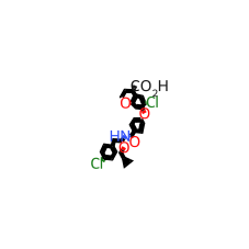 O=C(NC(Cc1ccc(Cl)cc1)OCC1CC1)c1ccc(Oc2cc3c(cc2Cl)C(C(=O)O)CCO3)cc1